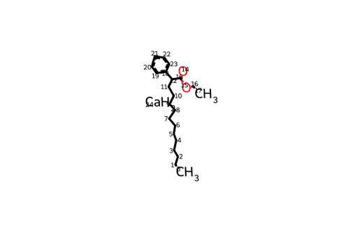 CCCCCCCCCCCCC(C(=O)OCC)c1ccccc1.[CaH2]